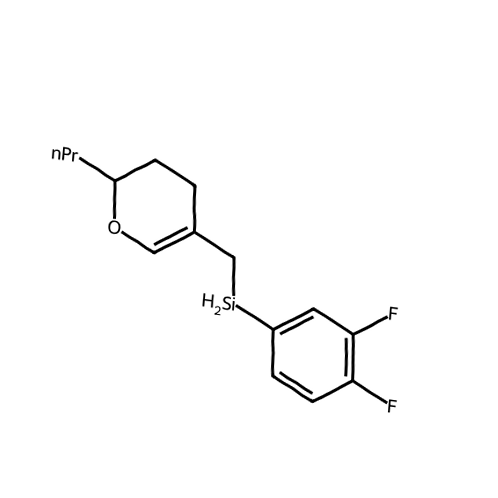 CCCC1CCC(C[SiH2]c2ccc(F)c(F)c2)=CO1